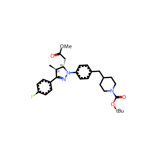 COC(=O)C[C@H]1[C@H](C)C(c2ccc(F)cc2)=NN1c1ccc(CC2CCN(C(=O)OC(C)(C)C)CC2)cc1